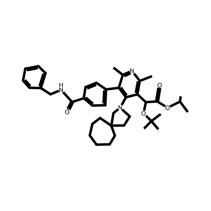 Cc1nc(C)c(C(OC(C)(C)C)C(=O)OC(C)C)c(N2CCC3(CCCCCC3)C2)c1-c1ccc(C(=O)NCc2ccccc2)cc1